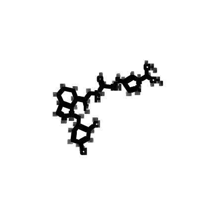 CC(C)n1cc(SNC(=O)NC/C(F)=C2\CCCc3cnn(Cc4ccc(Cl)cc4Cl)c32)cn1